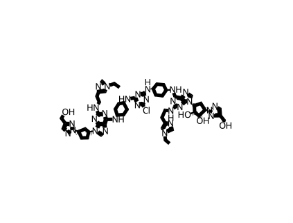 CCn1cnc(CCNc2nc(N[C@H]3CC[C@H](Nc4nc(Cl)nc(N[C@H]5CC[C@H](Nc6nc(NCCc7cn(CC)cn7)nc7c6ncn7[C@@H]6C[C@H](n7ncc(CO)n7)[C@@H](O)[C@H]6O)CC5)n4)CC3)c3ncn([C@H]4CC[C@@H](n5ncc(CO)n5)C4)c3n2)c1